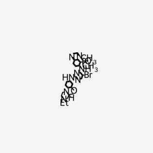 CCN1CCN2c3ccc(Nc4ncc(Br)c(Nc5ccc6nccnc6c5P(C)(C)=O)n4)cc3OC[C@@H]2C1